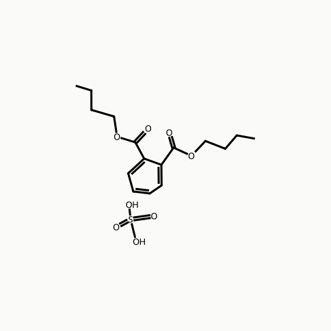 CCCCOC(=O)c1ccccc1C(=O)OCCCC.O=S(=O)(O)O